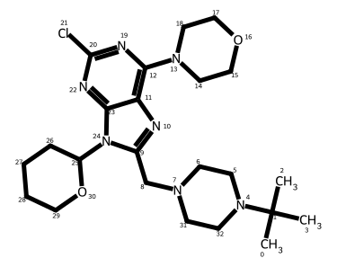 CC(C)(C)N1CCN(Cc2nc3c(N4CCOCC4)nc(Cl)nc3n2C2CCCCO2)CC1